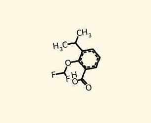 CC(C)c1cccc(C(=O)O)c1OC(F)F